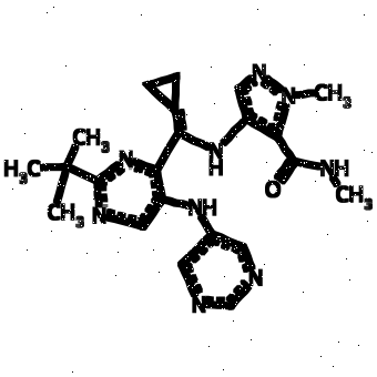 CNC(=O)c1c(NC(=C2CC2)c2nc(C(C)(C)C)ncc2Nc2cncnc2)cnn1C